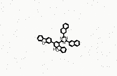 C1=CC(c2nc(C3=CC(c4ccc5c(c4)oc4ccccc45)=C[C@H]4Oc5ccccc5C34)nc(-c3ccc4ccccc4c3)n2)Cc2ccccc21